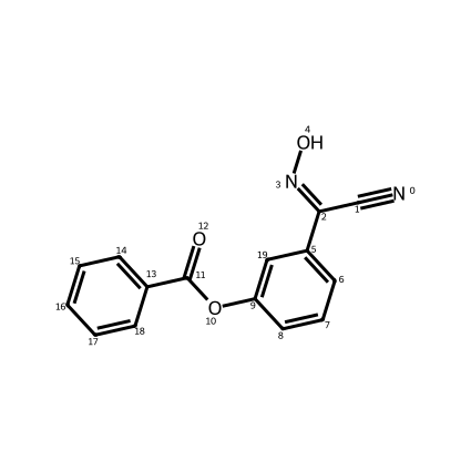 N#CC(=NO)c1cccc(OC(=O)c2ccccc2)c1